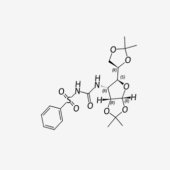 CC1(C)O[C@H]2O[C@H]([C@H]3COC(C)(C)O3)[C@@H](NC(=O)NS(=O)(=O)c3ccccc3)[C@H]2O1